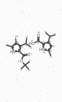 Cc1[nH]c(C(=O)OC(C)(C)C)c(C(C)C)c1I.Cc1cc(C(C)C)c(C(=O)O)[nH]1